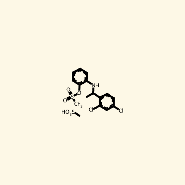 CC(Nc1ccccc1OS(=O)(=O)C(F)(F)F)c1ccc(Cl)cc1Cl.CS(=O)(=O)O